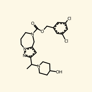 CC(c1cc2n(n1)CCCN(C(=O)OCc1cc(Cl)cc(Cl)c1)C2)N1CCC(O)CC1